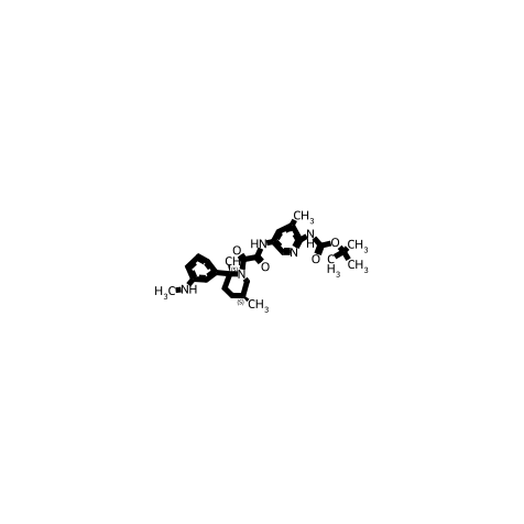 CNc1cccc([C@]2(C)CC[C@H](C)CN2C(=O)C(=O)Nc2cnc(NC(=O)OC(C)(C)C)c(C)c2)c1